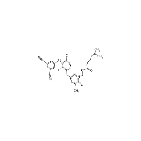 Cc1cc(Cc2ccc(Cl)c(Oc3cc(C#N)cc(C#N)c3)c2F)nn(COC(=O)OCCN(C)C)c1=O